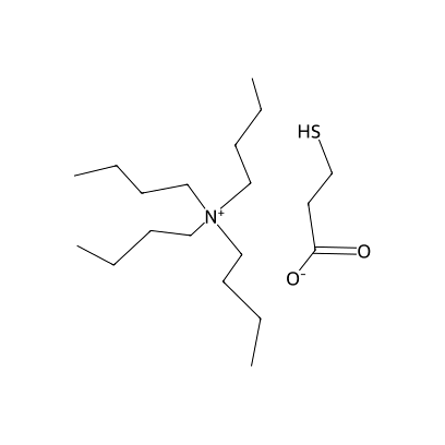 CCCC[N+](CCCC)(CCCC)CCCC.O=C([O-])CCS